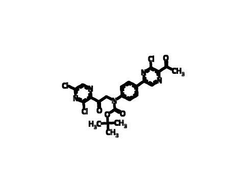 CC(=O)c1ncc(-c2ccc(N(CC(=O)c3ncc(Cl)nc3Cl)C(=O)OC(C)(C)C)cc2)nc1Cl